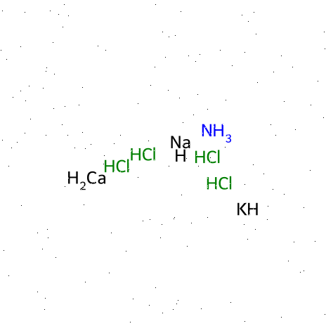 Cl.Cl.Cl.Cl.N.[CaH2].[KH].[NaH]